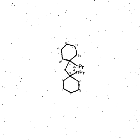 CCCC1(CC2(CCC)CCCCC2)CCCCC1